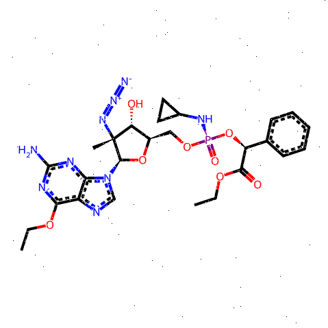 CCOC(=O)[C@@H](O[P@@](=O)(NC1CC1)OC[C@H]1O[C@@H](n2cnc3c(OCC)nc(N)nc32)[C@](C)(N=[N+]=[N-])[C@@H]1O)c1ccccc1